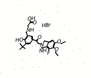 Br.CCOc1cc2c(c(F)c1OCC)C(=N)N(CC(=O)c1cc(CNCC(=O)O)c(O)c(C(C)(C)C)c1)C2